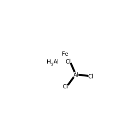 [AlH3].[Cl][Al]([Cl])[Cl].[Fe]